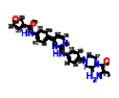 CC(N)C(=O)N1CCN(c2ccc(Nc3nccc(-c4ccc(NC(=O)C5CCOC5)cc4)n3)cc2)CC1